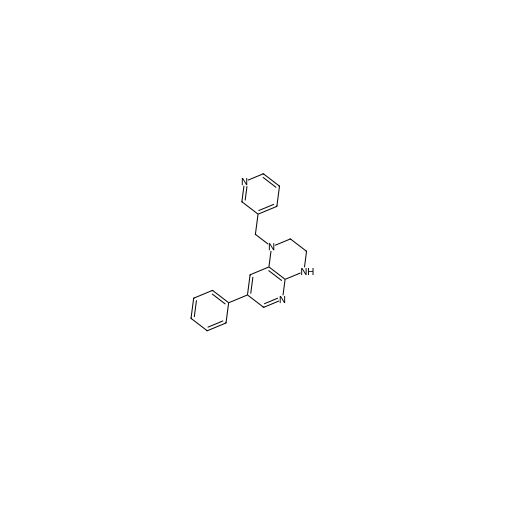 c1ccc(-c2cnc3c(c2)N(Cc2cccnc2)CCN3)cc1